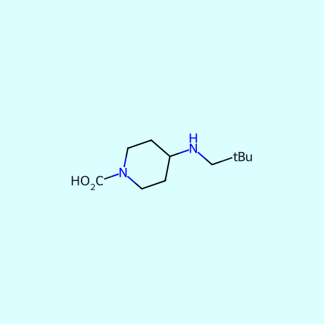 CC(C)(C)CNC1CCN(C(=O)O)CC1